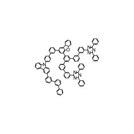 C1=CC2Oc3c(-c4cc(-c5cccc(-c6cccc(-c7nc(-c8ccccc8)nc(-c8ccccc8)n7)c6)c5)cc(-c5cccc(-c6cccc(-c7nc(-c8ccccc8)nc(-c8ccccc8)n7)c6)c5)c4)cc(-c4cccc(-c5ccc(-n6c7ccccc7c7cc(-c8cccc(-c9cccc(-c%10ccccc%10)c9)c8)ccc76)cc5)c4)cc3C2C=C1